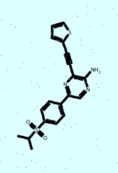 CC(C)S(=O)(=O)c1ccc(-c2cnc(N)c(C#Cc3cccs3)n2)cc1